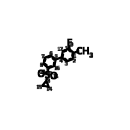 Cc1ccc(-c2cccc(S(=O)(=O)C3CC3)c2)cc1F